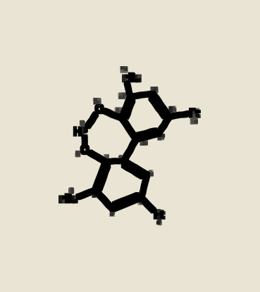 CCCCc1cc(CC)cc2c1o[pH]oc1c(CCCC)cc(CC)cc12